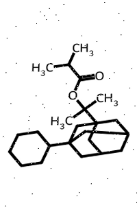 CC(C)C(=O)OC(C)(C)C12CC3CC(CC(C4CCCCC4)(C3)C1)C2